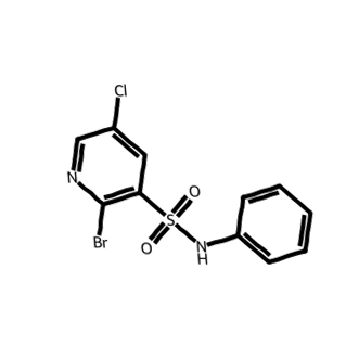 O=S(=O)(Nc1ccccc1)c1cc(Cl)cnc1Br